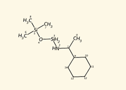 CC(N[SiH2]O[Si](C)(C)C)C1CCCCC1